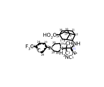 CC(C)(/C(=N\C#N)NC1C2CC3CC1CC(C(=O)O)(C3)C2)N1CCN(c2ccc(C(F)(F)F)cc2)CC1